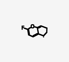 FC1=CC=C2[CH]CCC=C2O1